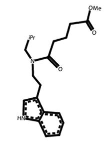 COC(=O)CCCC(=O)N(CCc1c[nH]c2ccccc12)CC(C)C